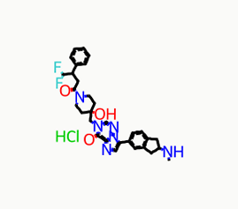 CNC1Cc2ccc(-c3cnc4c(=O)n(CC5(O)CCN(C(=O)CC(c6ccccc6)C(F)F)CC5)cnn34)cc2C1.Cl